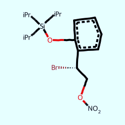 CC(C)[Si](Oc1ccccc1[C@@H](Br)CO[N+](=O)[O-])(C(C)C)C(C)C